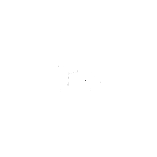 O=C1OC2(OCO2)OC1=O